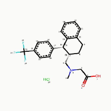 CN(CC(=O)O)C[C@H]1CCc2ccccc2[C@H]1c1ccc(C(F)(F)F)cc1.Cl